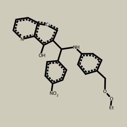 CCOOCc1ccc(NC(c2ccc([N+](=O)[O-])cc2)c2ccc3cccnc3c2O)cc1